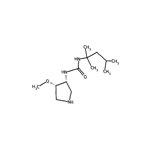 CO[C@H]1CNC[C@H]1NC(=O)NC(C)(C)CC(C)C